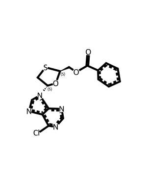 O=C(OC[C@H]1O[C@H](n2cnc3c(Cl)ncnc32)CS1)c1ccccc1